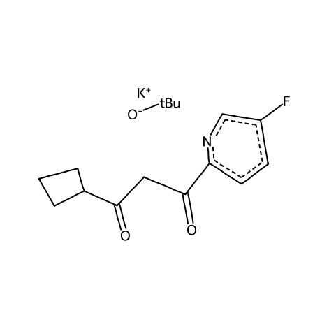 CC(C)(C)[O-].O=C(CC(=O)C1CCC1)c1ccc(F)cn1.[K+]